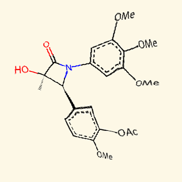 COc1ccc([C@@H]2N(c3cc(OC)c(OC)c(OC)c3)C(=O)[C@]2(C)O)cc1OC(C)=O